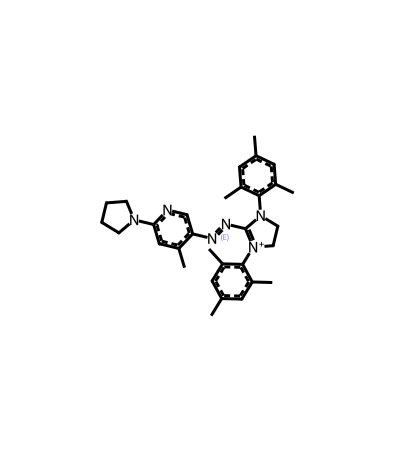 Cc1cc(C)c(N2CC[N+](c3c(C)cc(C)cc3C)=C2/N=N/c2cnc(N3CCCC3)cc2C)c(C)c1